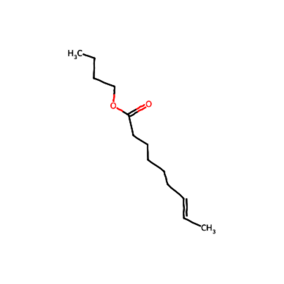 CC=CCCCCCC(=O)OCCCC